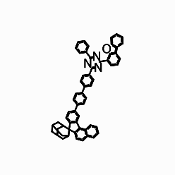 c1ccc(-c2nc(-c3ccc(-c4ccc(-c5ccc6c(c5)-c5c(ccc7ccccc57)C65C6CC7CC(C6)CC5C7)cc4)cc3)nc(-c3cccc4c3oc3ccccc34)n2)cc1